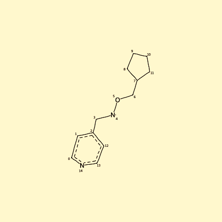 c1cc(C[N]OCC2CCCC2)ccn1